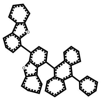 c1ccc(-c2c3ccccc3c(-c3ccc(-c4cccc5c4oc4ccccc45)c4oc5ccccc5c34)c3ccccc23)cc1